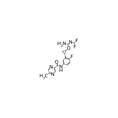 Cc1cnc(C(=O)Nc2ccc(F)c([C@H]3C[C@H]3O/C(N)=N\C(F)F)c2)cn1